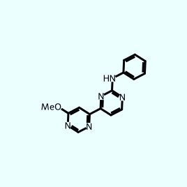 COc1cc(-c2ccnc(Nc3ccccc3)n2)ncn1